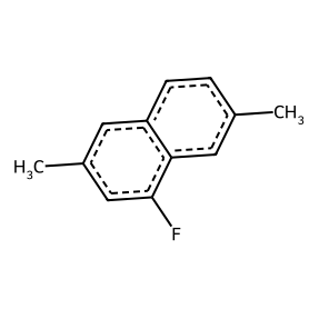 Cc1cc(F)c2cc(C)ccc2c1